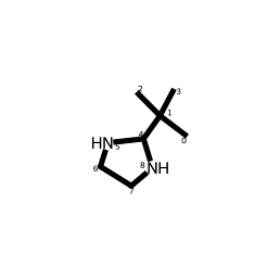 CC(C)(C)C1NCCN1